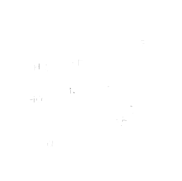 CCN1C(c2c(F)cc(F)cc2F)=C(C)C=C(Cl)C1O